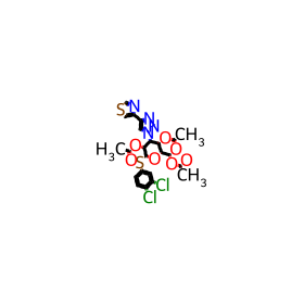 CC(=O)OCC1O[C@H](Sc2ccc(Cl)c(Cl)c2)C(OC(C)=O)C(n2cc(-c3cscn3)nn2)[C@H]1OC(C)=O